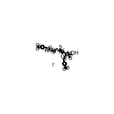 CSc1c2sc(C3=C(C(=O)OCc4ccc([N+](=O)[O-])cc4)N4C(=O)[C@H]([C@@H](C)O)[C@H]4[C@H]3C)c[n+]2cn1Cc1csc(NC(=O)OCc2ccc([N+](=O)[O-])cc2)n1.[I-]